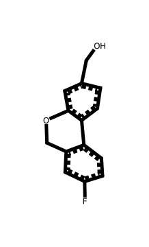 OCc1ccc2c(c1)OCc1cc(F)ccc1-2